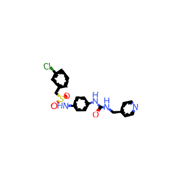 O=C(NCc1ccncc1)Nc1ccc(NS(=O)(=O)Cc2cccc(Cl)c2)cc1